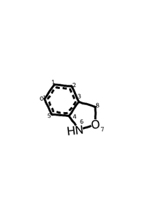 [c]1ccc2c(c1)NOC2